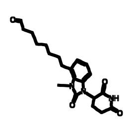 Cn1c(=O)n(C2CCC(=O)NC2=O)c2cccc(CCCCCCCC=O)c21